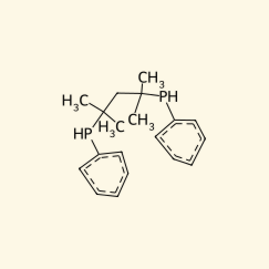 CC(C)(CC(C)(C)Pc1ccccc1)Pc1ccccc1